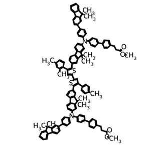 COC(=O)CCc1ccc(-c2ccc(N(c3ccc(-c4ccc5c(c4)C(C)(C)c4ccccc4-5)cc3)c3ccc4c(c3)C(C)(C)c3cc(-c5sc(-c6cc(-c7ccc(C)cc7C)c(-c7ccc8c(c7)C(C)(C)c7cc(N(c9ccc(-c%10ccc(CCC(=O)OC)cc%10)cc9)c9ccc(-c%10ccc%11c(c%10)C(C)(C)c%10ccccc%10-%11)cc9)ccc7-8)s6)cc5-c5ccc(C)cc5)ccc3-4)cc2)cc1